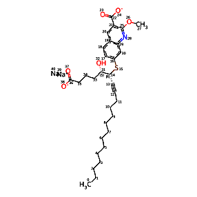 CCCCCCCCCCCCC#C[C@@H](Sc1ccc2cc(C(=O)[O-])c(OC)nc2c1)[C@@H](O)CCCC(=O)[O-].[Na+].[Na+]